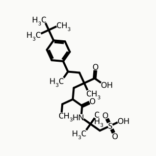 CCC(CC(C)(CC(C)c1ccc(C(C)(C)C)cc1)C(=O)O)C(=O)NC(C)(C)CS(=O)(=O)O